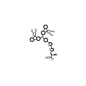 CCCCC1(CCCC)c2ccccc2-c2ccc(N(c3ccc(-c4ccc(-c5ccc(/C=C(\C#N)C(=O)O)s5)s4)cc3)c3ccc4c(c3)C(CCCC)(CCCC)c3ccccc3-4)cc21